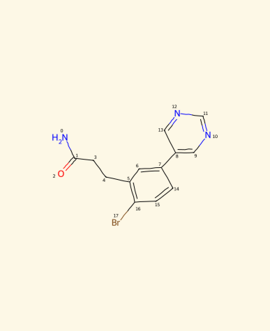 NC(=O)CCc1cc(-c2cncnc2)ccc1Br